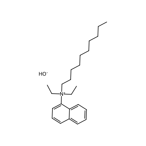 CCCCCCCCCC[N+](CC)(CC)c1cccc2ccccc12.[OH-]